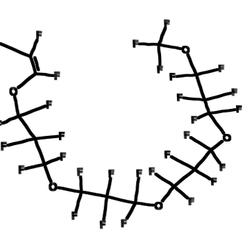 FC(F)=C(F)OC(F)(F)C(F)(F)C(F)(F)OC(F)(F)C(F)(F)C(F)(F)OC(F)(F)C(F)(F)C(F)(F)OC(F)(F)C(F)(F)C(F)(F)OC(F)(F)F